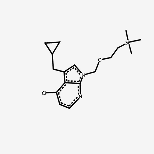 C[Si](C)(C)CCOCn1cc(CC2CC2)c2c(Cl)ccnc21